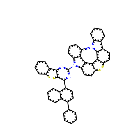 c1ccc(-c2ccc(-c3nc(-n4c5ccc6sc7ccc8c9ccccc9n9c%10cccc4c%10c5c6c7c89)nc4c3sc3ccccc34)c3ccccc23)cc1